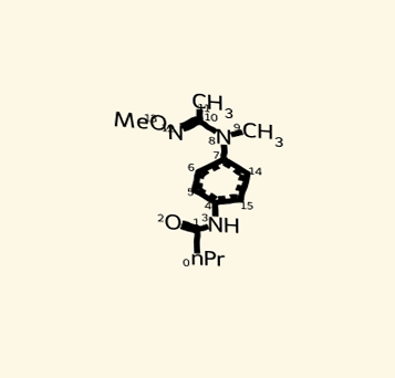 CCCC(=O)Nc1ccc(N(C)C(C)=NOC)cc1